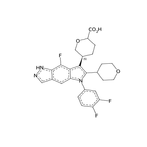 O=C(O)C1CC[C@@H](c2c(C3CCOCC3)n(-c3ccc(F)c(F)c3)c3cc4cn[nH]c4c(F)c23)CO1